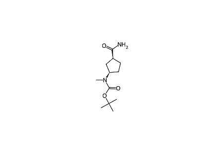 CN(C(=O)OC(C)(C)C)[C@@H]1CC[C@H](C(N)=O)C1